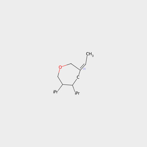 C/C=C1\COCC(C(C)C)C(C(C)C)C1